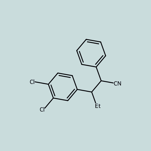 [CH2]CC(c1ccc(Cl)c(Cl)c1)C(C#N)c1ccccc1